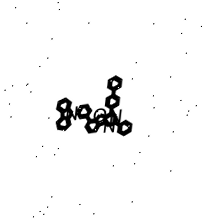 c1ccc(-c2ccc(-c3nc(-c4ccccc4)nc4c3oc3c(-c5cccc(-n6c7ccccc7c7ccccc76)c5)cccc34)cc2)cc1